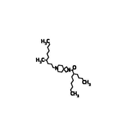 CCCCCCC(C)CCCN1CCC2(CC1)CN(C(=O)C(CCCC)CCCCCC)C2